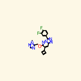 Cn1ncnc1COc1nn2c(-c3ccc(F)c(F)c3)nnc2cc1C1=CC=C1